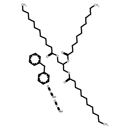 CCCCCCCCCCCC(=O)OCC(COC(=O)CCCCCCCCCCC)OC(=O)CCCCCCCCCCC.N=C=O.N=C=O.c1ccc(Cc2ccccc2)cc1